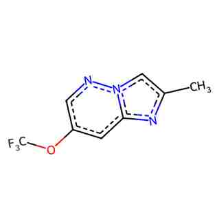 Cc1cn2ncc(OC(F)(F)F)cc2n1